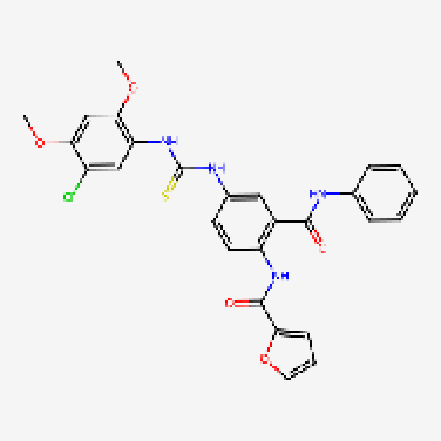 COc1cc(OC)c(NC(=S)Nc2ccc(NC(=O)c3ccco3)c(C(=O)Nc3ccccc3)c2)cc1Cl